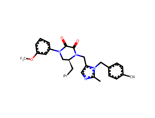 Cc1ncc(CN2C(=O)C(=O)N(c3cccc(OC(F)(F)F)c3)C[C@@H]2CC(C)C)n1Cc1ccc(C#N)cc1